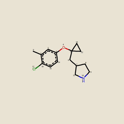 Cc1cc(OC2(CC3CCNC3)CC2)ccc1Cl